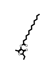 CCCCCCCCCCCCC(=O)OC1=C(C)OC(CC)C1=O